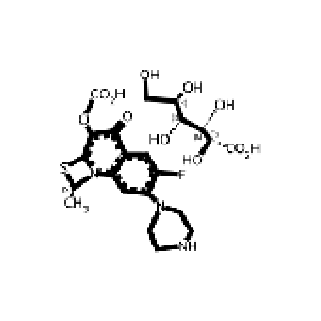 C[C@@H]1Sc2c(OC(=O)O)c(=O)c3cc(F)c(N4CCNCC4)cc3n21.O=C(O)[C@H](O)[C@@H](O)[C@H](O)[C@H](O)CO